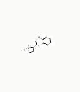 O=c1cc(-c2cc[nH]n2)oc2ccccc12